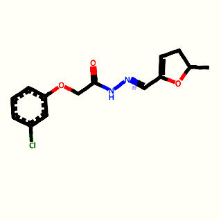 CC1CC=C(/C=N/NC(=O)COc2cccc(Cl)c2)O1